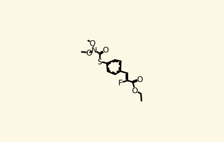 CCOC(=O)C(F)=Cc1ccc(SC(=O)N(OC)OC)cc1